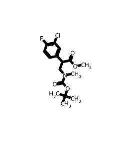 COC(=O)C(CN(C)C(=O)OC(C)(C)C)c1ccc(F)c(Cl)c1